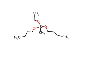 CCCCO[Si](C)(OCC)OCCCC